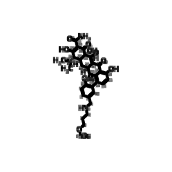 CCCCOCCCNCc1ccc(OC)c(-c2ccc(O)c3c2C[C@H]2C[C@H]4[C@H](N(C)C)C(O)=C(C(N)=O)C(=O)[C@@]4(O)C(O)=C2C3=O)c1